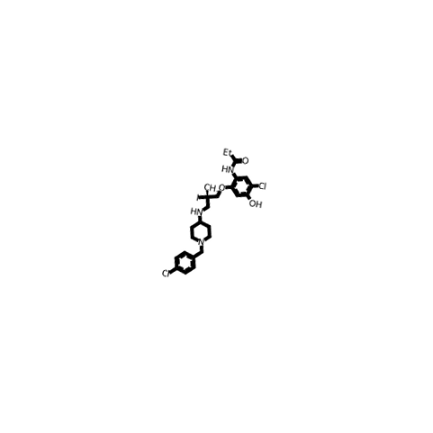 CCC(=O)Nc1cc(Cl)c(O)cc1OC[C@@](C)(I)CNC1CCN(Cc2ccc(Cl)cc2)CC1